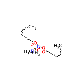 CCCCC/C=C\C/C=C\CCCCCCCC(=O)OCCN(CCOC(=O)CCCCCCC/C=C\C/C=C\CCCCC)C(=O)CSCN(C)C